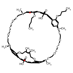 CCCCOc1cc2ccc1C1=C(O)/C(=c3\cc/c(cc3OCCCC)=[N+](/C)CCOCCCOCC/[N+](C)=c3\cc/c(c(OCCCC)c3)=C3/C(=O)C(=C3O)c3ccc(cc3OCCCC)N(C)CCOCCCOCCN2C)C1=O